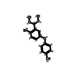 CCOC(OCC)c1cc(Oc2ccc(C#N)cc2)ccc1Br